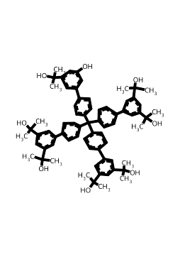 CC(C)(O)c1cc(O)cc(-c2ccc(C(c3ccc(-c4cc(C(C)(C)O)cc(C(C)(C)O)c4)cc3)(c3ccc(-c4cc(C(C)(C)O)cc(C(C)(C)O)c4)cc3)c3ccc(-c4cc(C(C)(C)O)cc(C(C)(C)O)c4)cc3)cc2)c1